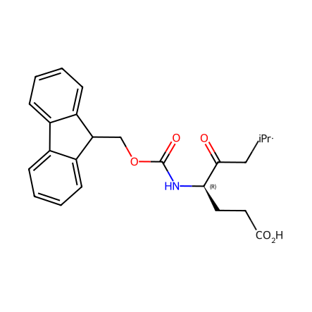 C[C](C)CC(=O)[C@@H](CCC(=O)O)NC(=O)OCC1c2ccccc2-c2ccccc21